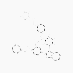 COc1cc(-c2nc3ccccn3c2-c2ccnc(Nc3cccc(CCN4CCCC4)c3)n2)ccc1OCc1ccccc1